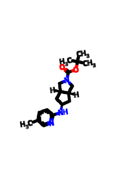 Cc1ccc(N[C@H]2C[C@@H]3CN(C(=O)OC(C)(C)C)C[C@@H]3C2)nc1